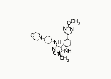 C=Nc1[nH]c2ccc(-c3cnc(OC)nc3)cc2c1/C(=N\C)NC1CCC(N2CCOCC2)CC1